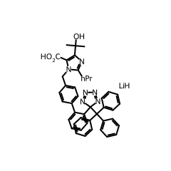 CCCc1nc(C(C)(C)O)c(C(=O)O)n1Cc1ccc(-c2ccccc2C2(C(c3ccccc3)(c3ccccc3)c3ccccc3)N=NN=N2)cc1.[LiH]